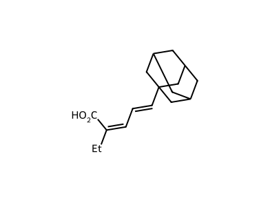 CCC(=CC=CC12CC3CC(CC(C3)C1)C2)C(=O)O